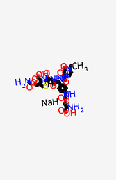 CCN1CCN(C(=O)N[C@@H](C(=O)N[C@@H]2C(=O)N3C(C(=O)O)=C(COC(N)=O)CS[C@H]23)c2ccc(NC(=O)OC[C@@H](N)C(=O)O)cc2)C(=O)C1=O.[NaH]